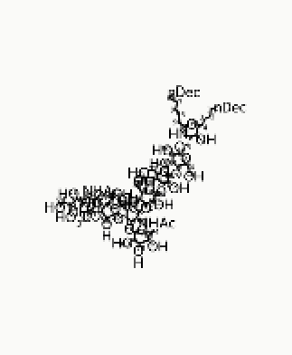 CCCCCCCCCCCCC/C=C/[C@@H](O)[C@H](CO[C@@H]1OC(CO)[C@@H](O[C@@H]2OC(CO)[C@H](O)[C@H](O[C@H]3OC(CO)[C@H](O)[C@H](O[C@@H]4OC(CO)[C@@H](O[C@@H]5OC(CO)[C@H](O)[C@H](O[C@]6(C(=O)O)CC(O)[C@@H](NC(C)=O)C([C@H](O)[C@H](O)CO)O6)C5O)[C@H](O[C@H]5OC(C)[C@@H](O)C(O)[C@@H]5O)C4NC(C)=O)C3O)C2O)[C@H](O)C1O)NC(=O)CCCCCCCCCCCCCCC